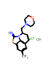 Cl.Cl.N=c1sc2cc(C(F)(F)F)cc3c2n1C(CN1CCOCC1)CC3